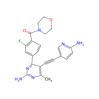 Cc1nc(N)nc(-c2ccc(C(=O)N3CCOCC3)c(F)c2)c1C#Cc1ccc(N)nc1